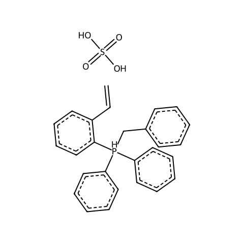 C=Cc1ccccc1[PH](Cc1ccccc1)(c1ccccc1)c1ccccc1.O=S(=O)(O)O